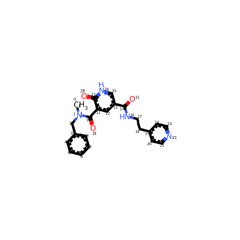 CN(Cc1ccccc1)C(=O)c1cc(C(=O)NCCc2ccncc2)c[nH]c1=O